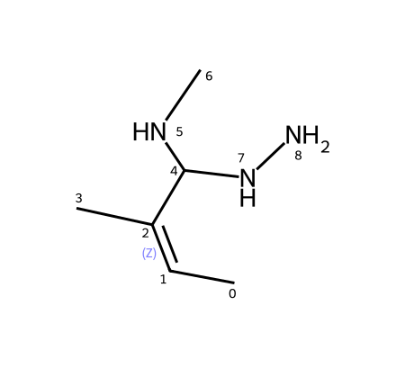 C/C=C(/C)C(NC)NN